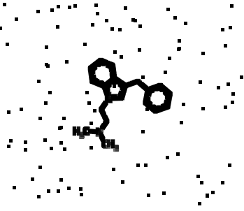 CN(C)CCn1cc(Cc2ccccc2)c2ccccc21